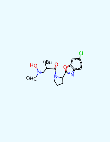 CCCCC(CN(O)C=O)C(=O)N1CCCC1c1nc2ccc(Cl)cc2o1